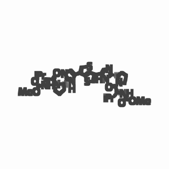 COC(=O)N[C@H](C(=O)N1CCC[C@H]1c1ncc(-c2csc3c(-c4cnc([C@@H]5CCCN5C(=O)[C@@H](NC(=O)OC)C(C)C)[nH]4)csc23)[nH]1)C(C)C